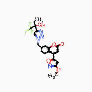 CCC(O)(c1cn(Cc2ccc3c(-c4cc(OC)no4)cc(=O)oc3c2)nn1)C(F)(F)F